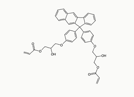 C=CC(=O)OCC(O)COc1ccc(C2(c3ccc(OCC(O)COC(=O)C=C)cc3)c3ccccc3-c3cc4ccccc4cc32)cc1